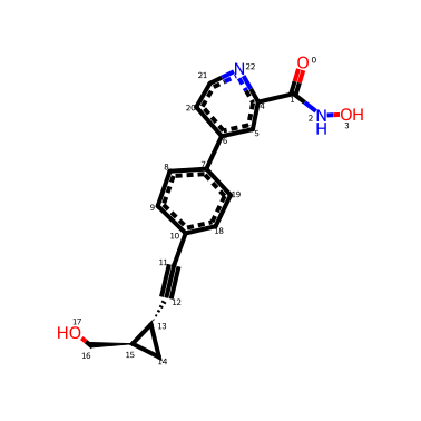 O=C(NO)c1cc(-c2ccc(C#C[C@@H]3C[C@H]3CO)cc2)ccn1